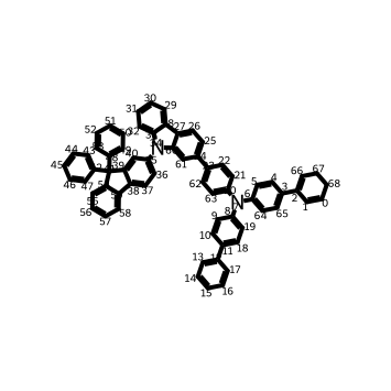 C1=CC(c2ccc(N(c3ccc(-c4ccccc4)cc3)c3ccc(-c4ccc5c6ccccc6n(-c6ccc7c(c6)C(c6ccccc6)(c6ccccc6)c6ccccc6-7)c5c4)cc3)cc2)=CCC1